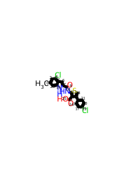 Cc1cc(Cl)c2cc(C(=O)Nc3scc(-c4ccc(Cl)cc4)c3C(=O)O)[nH]c2c1